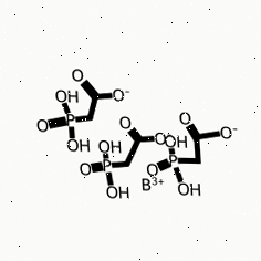 O=C([O-])CP(=O)(O)O.O=C([O-])CP(=O)(O)O.O=C([O-])CP(=O)(O)O.[B+3]